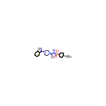 CCC(NS(=O)(=O)c1ccc(C(C)(C)C)cc1)N1CCN(c2nsc3ccccc23)CC1